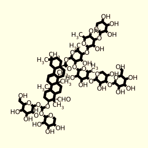 CC(=O)OC1C(C)OC(OC2C(C)OC(OC(=O)[C@]34CCC(C)(C)CC3C3=CCC5[C@@]6(C)CC[C@H](OC(OC7OCC(O)C(O)C7O)OC7OC(CO)C(O)C(O)C7O)[C@@](C)(C=O)C6CC[C@@]5(C)[C@]3(C)CC4)C(OC3OC(C)C(OC4OCC(O)C(OC5OC(CO)C(O)C(O)C5O)C4O)C(O)C3O)C2O)C(O)C1OC1OCC(O)C(O)C1O